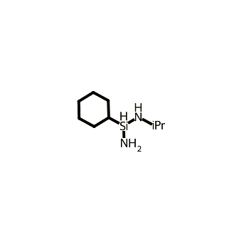 CC(C)N[SiH](N)C1CCCCC1